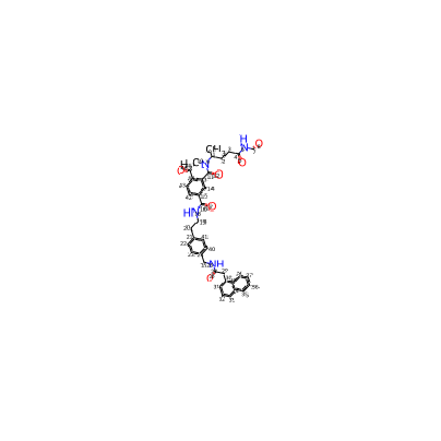 CC(CCC(=O)NC=O)N(C)C(=O)c1cc(C(=O)NCCc2ccc(CNC(=O)Cc3cccc4ccccc34)cc2)ccc1C=O